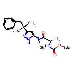 CC(NC(=O)OC(C)(C)C)C(=O)N(c1cc(C(C)(C)Cc2ccccc2)n[nH]1)C(C)(C)C